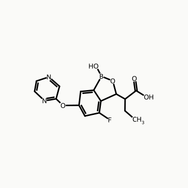 CCC(C(=O)O)C1OB(O)c2cc(Oc3cnccn3)cc(F)c21